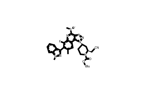 Cc1cc2c(nc([S+](C)[O-])c3nnn([C@H]4CCN(C(=O)OC(C)(C)C)[C@H](CC#N)C4)c32)c(F)c1-c1nn(C)c2ccccc12